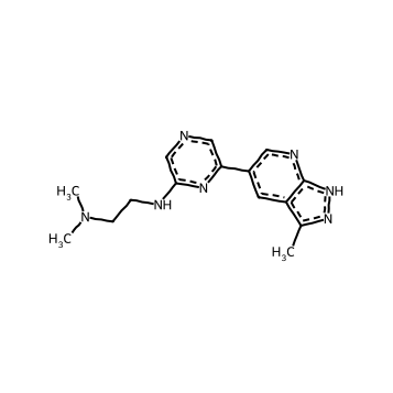 Cc1n[nH]c2ncc(-c3cncc(NCCN(C)C)n3)cc12